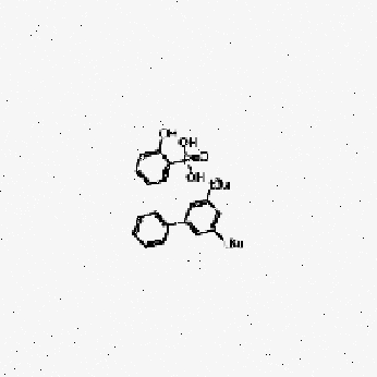 CC(C)(C)c1cc(-c2ccccc2)cc(C(C)(C)C)c1.O=P(O)(O)c1ccccc1O